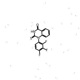 O=c1[nH]c(=S)n(-c2ccc(F)c(F)c2F)c2ccccc12